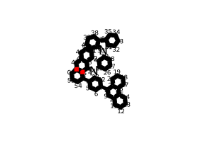 c1ccc(-c2ccc(-c3cc4ccccc4c4ccccc34)cc2N(c2cccc(-n3c4ccccc4c4ccccc43)c2)c2cccc3ccccc23)cc1